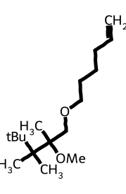 C=CCCCCOCC(C)(OC)C(C)(C)C(C)(C)C